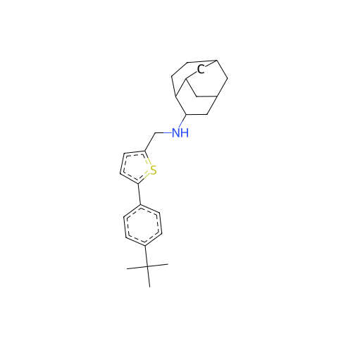 CC(C)(C)c1ccc(-c2ccc(CNC3CC4CC5CCC3C(C5)C4)s2)cc1